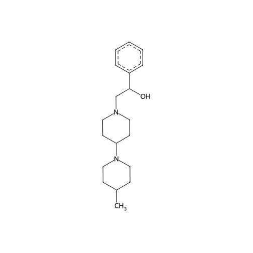 CC1CCN(C2CCN(CC(O)c3ccccc3)CC2)CC1